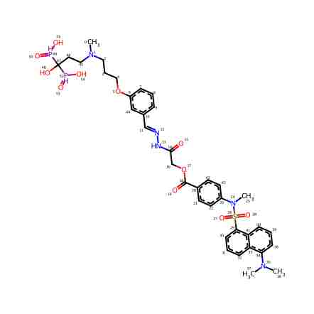 CN(CCCOc1cccc(/C=N/NC(=O)COC(=O)c2ccc(N(C)S(=O)(=O)c3cccc4c(N(C)C)cccc34)cc2)c1)CCC(O)([PH](=O)O)[PH](=O)O